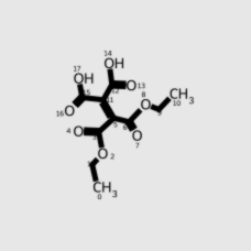 CCOC(=O)C(C(=O)OCC)=C(C(=O)O)C(=O)O